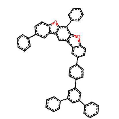 c1ccc(-c2cc(-c3ccccc3)cc(-c3ccc(-c4ccc5oc6c(-c7ccccc7)c7oc8ccc(-c9ccccc9)cc8c7cc6c5c4)cc3)c2)cc1